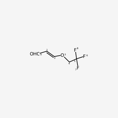 O=CC=COCC(F)(F)F